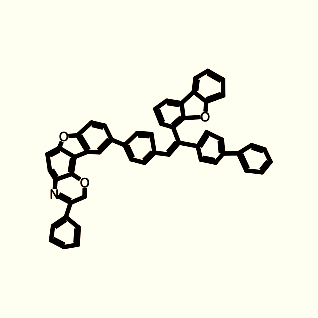 C(=C(\c1ccc(-c2ccccc2)cc1)c1cccc2c1oc1ccccc12)/c1ccc(-c2ccc3oc4ccc5c(c4c3c2)OCC(c2ccccc2)=N5)cc1